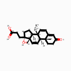 C[C@]12CCC(=O)C=C1C=C[C@@H]1[C@@H]2C=C[C@@]2(C)[C@H]1CC[C@]2(O)CCC(=O)[O-].[K+]